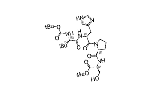 CC[C@H](C)[C@H](NC(=O)OC(C)(C)C)C(=O)N[C@@H](Cc1c[nH]cn1)C(=O)N1CCC[C@H]1C(=O)N[C@@H](CO)C(=O)OC